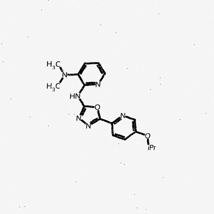 CC(C)Oc1ccc(-c2nnc(Nc3ncccc3N(C)C)o2)nc1